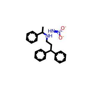 CC(NCCC(c1ccccc1)c1ccccc1)c1ccccc1.N=[N+]([O-])[O-]